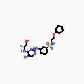 C[C@H](CO)Nc1nc(Nc2cccc(S(=O)(=O)NCCOc3ccccc3)c2)ncc1Br